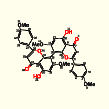 COc1ccc(-c2cc(=O)c3c(O)cc(OC)c(-c4c(OC)cc(O)c5c(=O)cc(-c6ccc(OC)cc6)oc45)c3o2)cc1